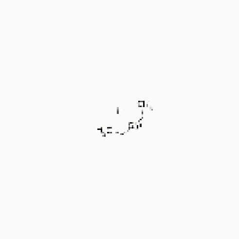 C[CH2][Ga+][CH2]C.[I-]